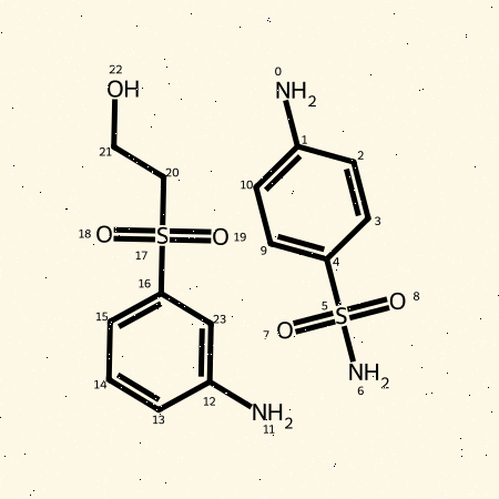 Nc1ccc(S(N)(=O)=O)cc1.Nc1cccc(S(=O)(=O)CCO)c1